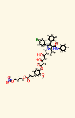 COc1cc(/C=C/C(=O)OCCCCO[N+](=O)[O-])ccc1OC(=O)CC(O)CC(O)CCn1c(-c2ccc(F)cc2)c(-c2ccccc2)c(C(=O)Nc2ccccc2)c1C(C)C